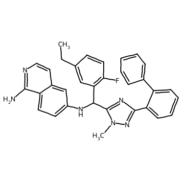 CCc1ccc(F)c(C(Nc2ccc3c(N)nccc3c2)c2nc(-c3ccccc3-c3ccccc3)nn2C)c1